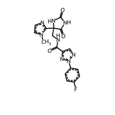 Cn1ccnc1C1(CNC(=O)c2cnn(-c3ccc(F)cc3)n2)NC(=O)NC1=O